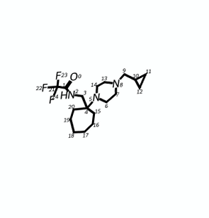 O=C(NCC1(N2CCN(CC3CC3)CC2)CCCCCC1)C(F)(F)F